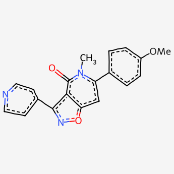 COc1ccc(-c2cc3onc(-c4ccncc4)c3c(=O)n2C)cc1